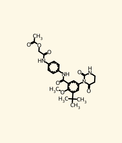 COc1c(C(=O)Nc2ccc(NC(=O)COC(C)=O)cc2)cc(N2C(=O)CCNC2=O)cc1C(C)(C)C